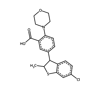 CC1Sc2cc(Cl)ccc2C1c1ccc(N2CCOCC2)c(C(=O)O)c1